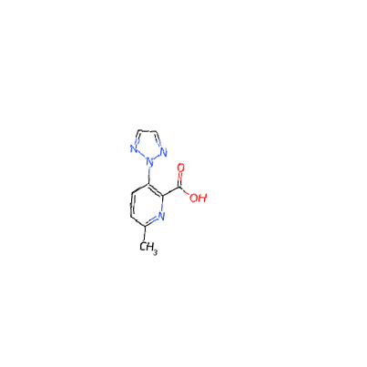 Cc1ccc(-n2nccn2)c(C(=O)O)n1